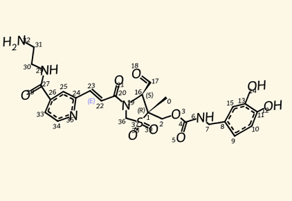 C[C@]1(COC(=O)NCc2ccc(O)c(O)c2)[C@H](C=O)N(C(=O)/C=C/c2cc(C(=O)NCCN)ccn2)CS1(=O)=O